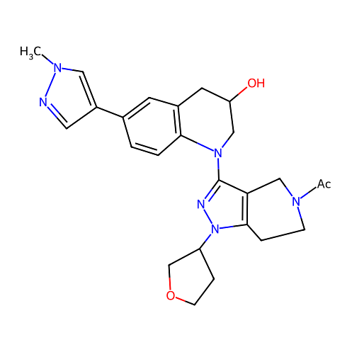 CC(=O)N1CCc2c(c(N3CC(O)Cc4cc(-c5cnn(C)c5)ccc43)nn2C2CCOC2)C1